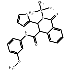 COc1cccc(NC(=O)C2c3ccccc3C(=O)N([Si](C)(C)C)C2c2cccs2)c1